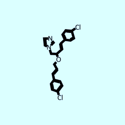 Clc1ccc(/C=C/COC(/C=C/c2ccc(Cl)cc2)Cn2ccnc2)cc1